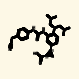 CC(C)CN(CC(C)C)c1ccc([C@H]2C[C@H]2C(=O)O)cc1NC(=O)Nc1ccc(CC#N)cc1